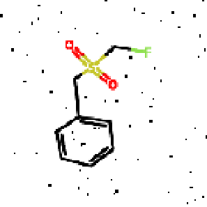 O=S(=O)([CH]F)Cc1ccccc1